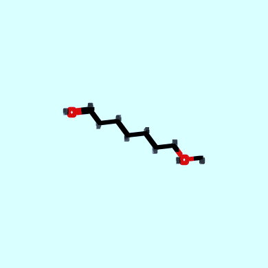 COCCCCCC[C]=O